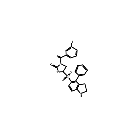 O=C1NC(S(=O)(=O)c2ccc3c(c2-c2ccccc2)CCN3)CN1C(=O)c1cccc(Cl)c1